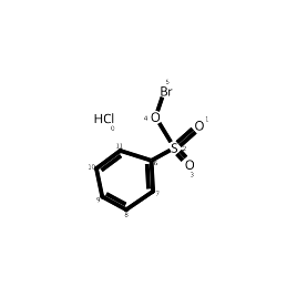 Cl.O=S(=O)(OBr)c1ccccc1